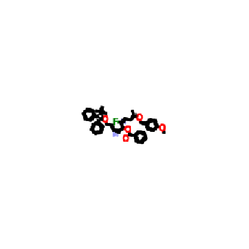 COc1ccc(CO[C@H](C)C/C=C(/F)C(/C=C\CCO[Si](c2ccccc2)(c2ccccc2)C(C)(C)C)OC(=O)c2ccccc2)cc1